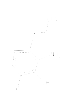 Cc1c(Cl)ccc(CCC=O)c1N